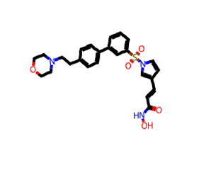 O=C(C=Cc1ccn(S(=O)(=O)c2cccc(-c3ccc(CCN4CCOCC4)cc3)c2)c1)NO